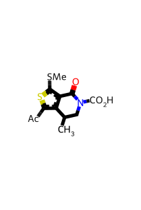 CSc1sc(C(C)=O)c2c1C(=O)N(C(=O)O)CC2C